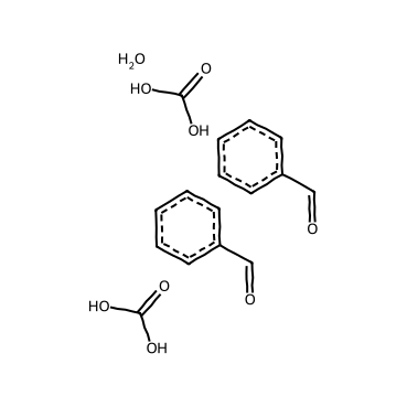 O.O=C(O)O.O=C(O)O.O=Cc1ccccc1.O=Cc1ccccc1